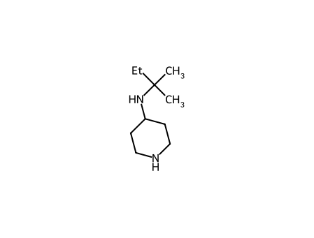 CCC(C)(C)NC1CCNCC1